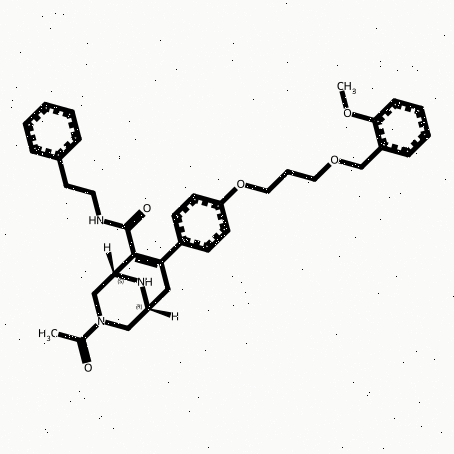 COc1ccccc1COCCCOc1ccc(C2=C(C(=O)NCCc3ccccc3)[C@H]3CN(C(C)=O)C[C@@H](C2)N3)cc1